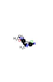 Cc1nn(-c2ccc(C#N)c(Cl)c2)c(C)c1Cc1cccc(C(=O)NC(C)C)c1